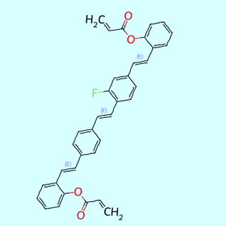 C=CC(=O)Oc1ccccc1/C=C/c1ccc(/C=C/c2ccc(/C=C/c3ccccc3OC(=O)C=C)cc2F)cc1